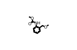 COCc1ccccc1NC(=O)OC